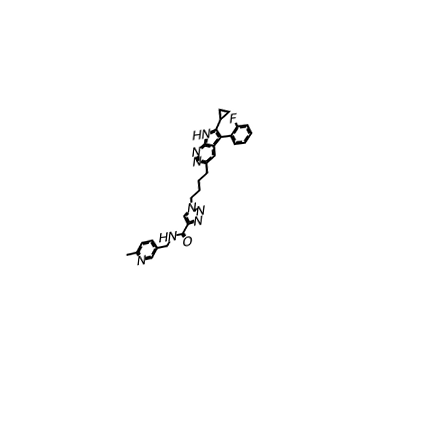 Cc1ccc(CNC(=O)c2cn(CCCCc3cc4c(-c5ccccc5F)c(C5CC5)[nH]c4nn3)nn2)cn1